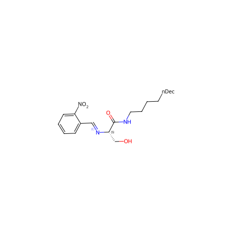 CCCCCCCCCCCCCCNC(=O)[C@H](CO)/N=C/c1ccccc1[N+](=O)[O-]